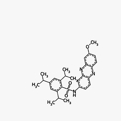 COc1ccc2nc3ccc(NS(=O)(=O)c4c(C(C)C)cc(C(C)C)cc4C(C)C)cc3nc2c1